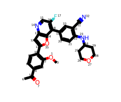 COc1cc(C(C)=O)ccc1-c1cc2ncc(F)c(-c3ccc(NC4CCOCC4)c(C#N)c3)c2o1